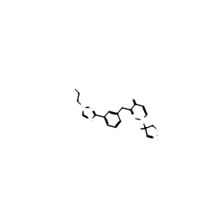 CC(C)CCn1cnc(-c2cccc(Cc3nn(C4(C)C=NNC4)ccc3=O)c2)n1